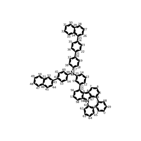 c1ccc(-c2cccc3c4c(-c5cccc(N(c6ccc(-c7ccc(-c8cccc9ccccc89)cc7)cc6)c6ccc(-c7ccc8ccccc8c7)cc6)c5)cccc4n(-c4ccccc4)c23)cc1